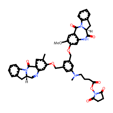 COc1cc2c(cc1OCc1cc(COc3cc4c(cc3C)C(=O)N3c5ccccc5C[C@H]3C=N4)cc(N(C)CCCC(=O)ON3C(=O)CCC3=O)c1)NC(=O)[C@@H]1Cc3ccccc3N1C2=O